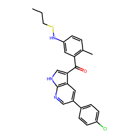 CCCSNc1ccc(C)c(C(=O)c2c[nH]c3ncc(-c4ccc(Cl)cc4)cc23)c1